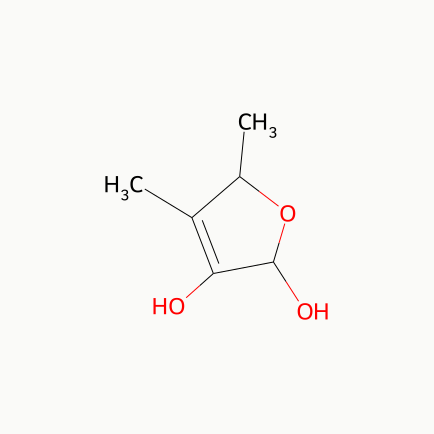 CC1=C(O)C(O)OC1C